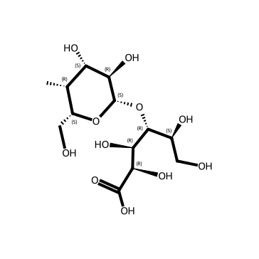 C[C@@H]1[C@H](O)[C@@H](O)[C@H](O[C@@H]([C@H](O)[C@@H](O)C(=O)O)[C@@H](O)CO)O[C@@H]1CO